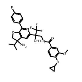 COc1cc(C(=O)NCC(O)(c2cc3c(c(-c4ccc(F)cc4)n2)OCC3(N)C(C)C)C(F)(F)F)ccc1OC1CC1